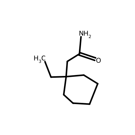 CCC1(CC(N)=O)CCCCC1